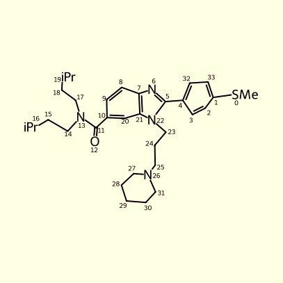 CSc1ccc(-c2nc3ccc(C(=O)N(CCC(C)C)CCC(C)C)cc3n2CCCN2CCCCC2)cc1